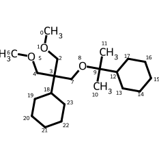 COCC(COC)(COC(C)(C)C1CCCCC1)C1CCCCC1